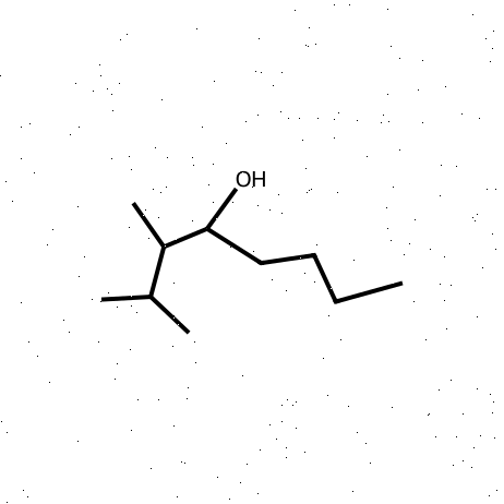 CCCCC(O)C(C)C(C)C